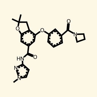 Cn1ccc(NC(=O)c2cc(Oc3cccc(C(=O)N4CCC4)c3)c3c(c2)OC(C)(C)C3)n1